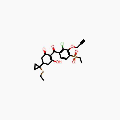 C#CCOc1c(S(=O)(=O)CC)ccc(C(=O)C2=C(O)CC(C3(SCC)CC3)CC2=O)c1Cl